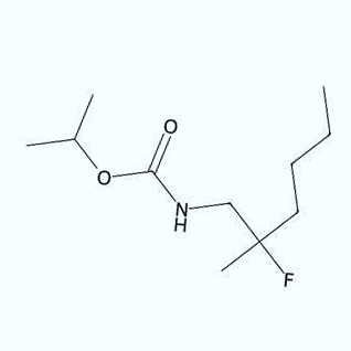 CCCCC(C)(F)CNC(=O)OC(C)C